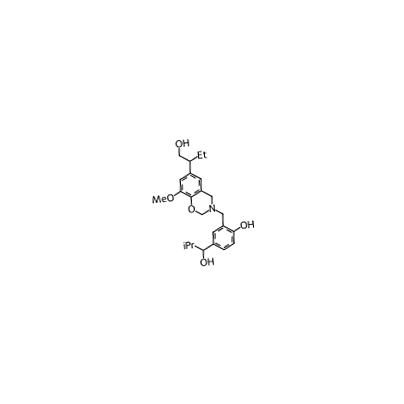 CCC(CO)c1cc2c(c(OC)c1)OCN(Cc1cc(C(O)C(C)C)ccc1O)C2